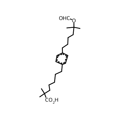 CC(C)(CCCCc1ccc(CCCCCC(C)(C)C(=O)O)cc1)OC=O